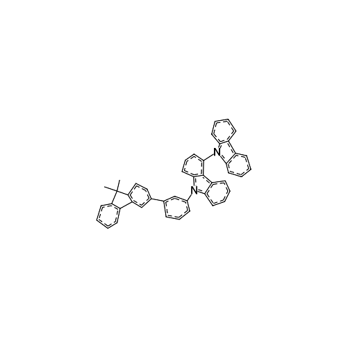 CC1(C)c2ccccc2-c2cc(-c3cccc(-n4c5ccccc5c5c(-n6c7ccccc7c7ccccc76)cccc54)c3)ccc21